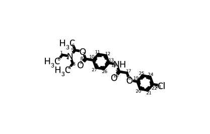 CCN(CC)C(C)OC(=O)c1ccc(NC(=O)COc2ccc(Cl)cc2)cc1